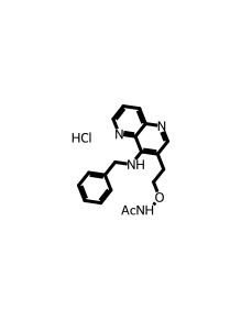 CC(=O)NOCCc1cnc2cccnc2c1NCc1ccccc1.Cl